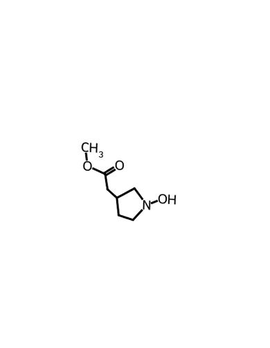 COC(=O)CC1CCN(O)C1